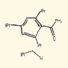 CC(C)c1cc(C(C)C)c(C(=O)P)c(C(C)C)c1.[Li][CH2]C(C)C